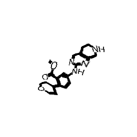 COC(=O)c1cc(Nc2ncc3c(n2)CNCC3)ccc1C1CCOCC1